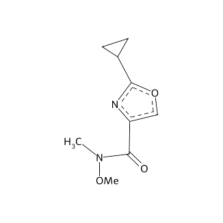 CON(C)C(=O)c1coc(C2CC2)n1